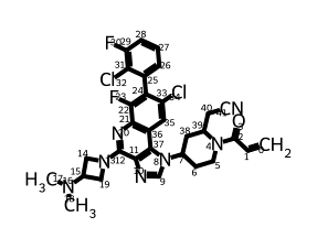 C=CC(=O)N1CCC(n2cnc3c(N4CC(N(C)C)C4)nc4c(F)c(-c5cccc(F)c5Cl)c(Cl)cc4c32)CC1CC#N